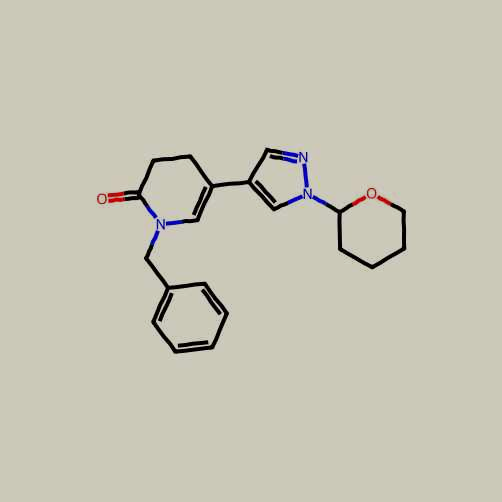 O=C1CCC(c2cnn(C3CCCCO3)c2)=CN1Cc1ccccc1